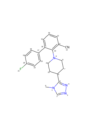 Cn1cnnc1C1CCN(c2c(C#N)cccc2-c2ccc(F)cc2)CC1